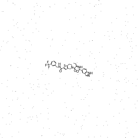 CC[C@@H](NC(=O)c1ccc2[nH]ncc2c1)C(=O)N1CCc2sc(C(=O)NCc3cccc(C(F)(F)F)c3)cc2C1